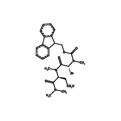 CC(C)[C@H](C(=O)N(C)[C@@H](CC(=O)O)C(=O)N(C)C)N(C)C(=O)OCC1c2ccccc2-c2ccccc21